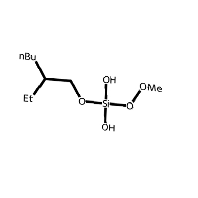 CCCCC(CC)CO[Si](O)(O)OOC